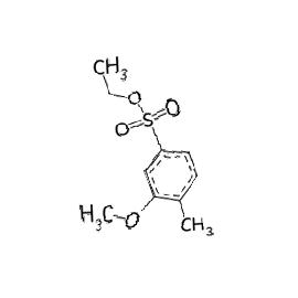 CCOS(=O)(=O)c1ccc(C)c(OC)c1